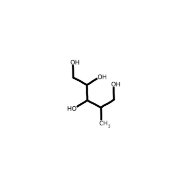 CC(CO)C(O)C(O)CO